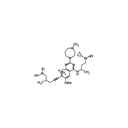 C=C(C#CCC(C)CN(CC)CCC)/C(=C\c1c(C)nc(N2CCCN(C)CC2)nc1NC(C)CCN(CCC)C1CC1)OC